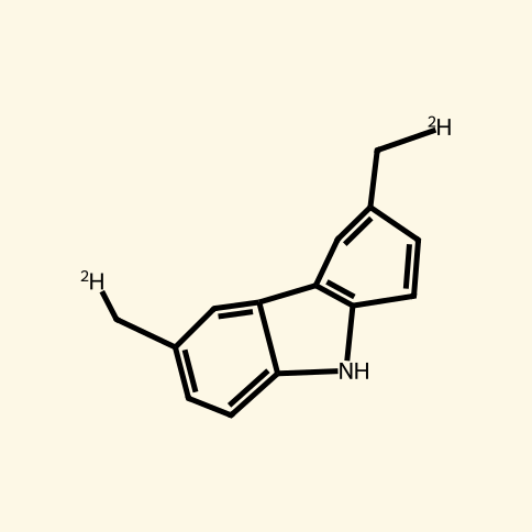 [2H]Cc1ccc2[nH]c3ccc(C[2H])cc3c2c1